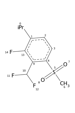 CC(C)c1ccc(S(C)(=O)=O)c(C(F)F)c1F